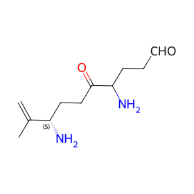 C=C(C)[C@@H](N)CCC(=O)C(N)CCC=O